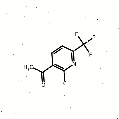 CC(=O)c1ccc(C(F)(F)F)nc1Cl